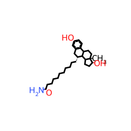 C[C@]12CCC3c4ccc(O)cc4C[C@@H](CCCCCCCCCCC(N)=O)C3C1CC[C@@H]2O